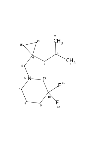 CC(C)CC1(CN2CCCC(F)(F)C2)CC1